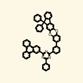 c1ccc(-c2nc(-c3cccc(-c4ccc5c(c4)Oc4cc6c(cc4O5)-c4ccccc4C6(c4ccccc4)c4ccccc4)c3)nc(-c3ccc4c5ccccc5c5ccccc5c4c3)n2)cc1